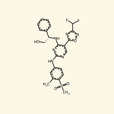 Cc1cc(Nc2ncc(-c3nc(C(F)F)no3)c(N[C@H](CO)c3ccccc3)n2)ccc1S(C)(=O)=O